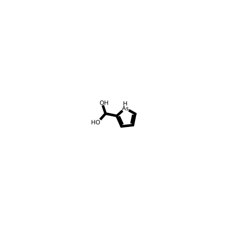 OC(O)C1=CC=C[AsH]1